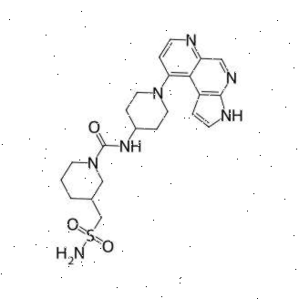 NS(=O)(=O)CC1CCCN(C(=O)NC2CCN(c3ccnc4cnc5[nH]ccc5c34)CC2)C1